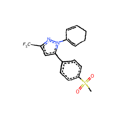 CS(=O)(=O)c1ccc(-c2cc(C(F)(F)F)nn2C2=CCCC=C2)cc1